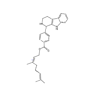 CC(C)=CCC/C(C)=C\COC(=O)c1ccc(C2NCCc3c2[nH]c2ccccc32)cc1